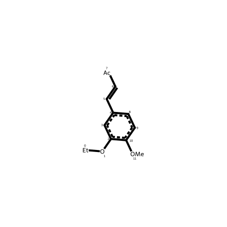 CCOc1cc(C=CC(C)=O)ccc1OC